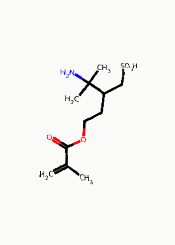 C=C(C)C(=O)OCCC(CS(=O)(=O)O)C(C)(C)N